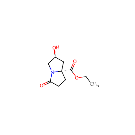 CCOC(=O)[C@]12CCC(=O)N1C[C@@H](O)C2